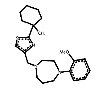 COc1ccccc1N1CCCN(Cc2csc(C3(C)CCCCC3)n2)CC1